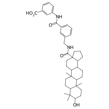 CC1(C)C(O)CCC2(C)C1CCC1(C)C3CCC4(C(=O)NCc5cccc(C(=O)Nc6cccc(C(=O)O)c6)c5)CCCC4C3CCC12